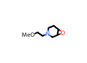 COCCN1CCC2OC2C1